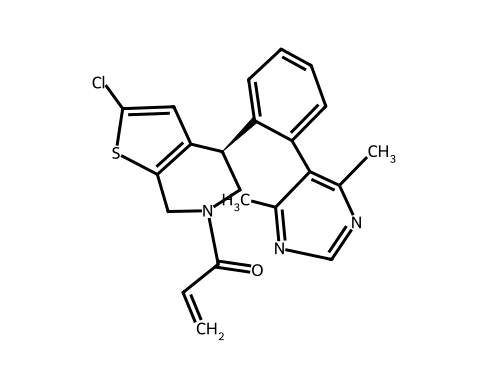 C=CC(=O)N1Cc2sc(Cl)cc2[C@@H](c2ccccc2-c2c(C)ncnc2C)C1